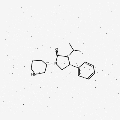 CC(C)N1C(=O)N([C@H]2CCCNC2)CC1c1ccccc1